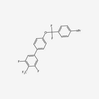 CCCc1ccc(C(F)(F)Oc2ccc(-c3cc(F)c(C(F)(F)F)c(F)c3)cc2)cc1